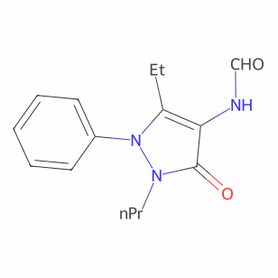 CCCn1c(=O)c(NC=O)c(CC)n1-c1ccccc1